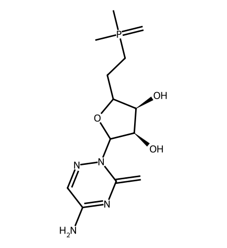 C=C1N=C(N)C=NN1C1OC(CCP(=C)(C)C)[C@@H](O)[C@H]1O